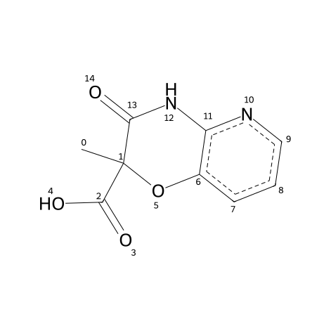 CC1(C(=O)O)Oc2cccnc2NC1=O